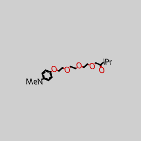 CNc1ccc(OCCOCCOCCOCC(=O)C(C)C)cc1